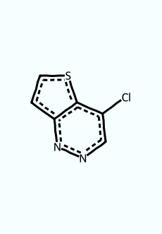 Clc1cnnc2ccsc12